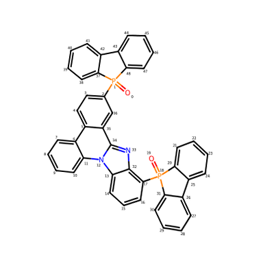 O=P1(c2ccc3c4ccccc4n4c5cccc(P6(=O)c7ccccc7-c7ccccc76)c5nc4c3c2)c2ccccc2-c2ccccc21